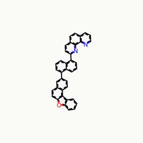 c1cnc2c(c1)ccc1ccc(-c3cccc4c(-c5ccc6c(ccc7oc8ccccc8c76)c5)cccc34)nc12